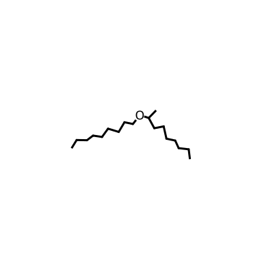 CCCCCCCCCOC(C)CCCCCCC